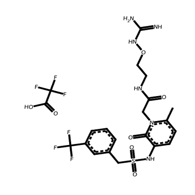 Cc1ccc(NS(=O)(=O)Cc2cccc(C(F)(F)F)c2)c(=O)n1CC(=O)NCCONC(=N)N.O=C(O)C(F)(F)F